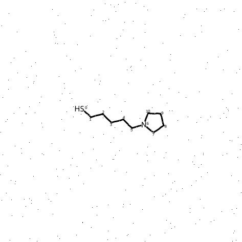 SCCCCCN1CCCC1